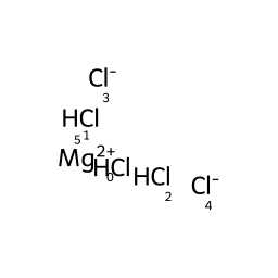 Cl.Cl.Cl.[Cl-].[Cl-].[Mg+2]